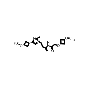 C=C(CCn1cc([C@H]2C[C@@H](OC(F)(F)F)C2)nc1C)NC(=O)CO[C@H]1C[C@@H](OC(F)(F)F)C1